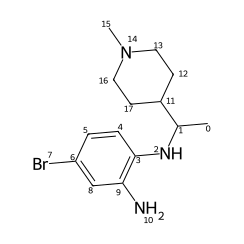 CC(Nc1ccc(Br)cc1N)C1CCN(C)CC1